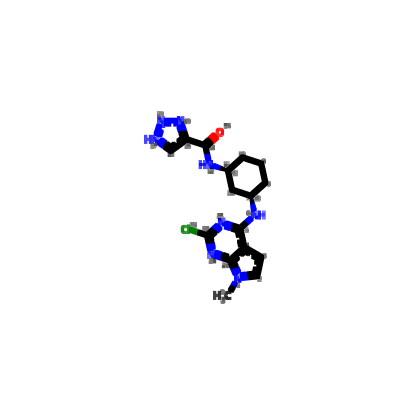 Cn1ccc2c(N[C@@H]3CCC[C@H](NC(=O)c4c[nH]nn4)C3)nc(Cl)nc21